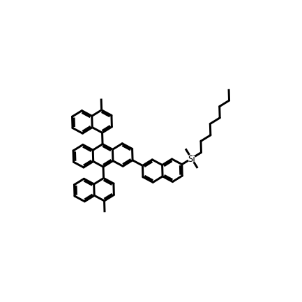 CCCCCCCC[Si](C)(C)c1ccc2ccc(-c3ccc4c(-c5ccc(C)c6ccccc56)c5ccccc5c(-c5ccc(C)c6ccccc56)c4c3)cc2c1